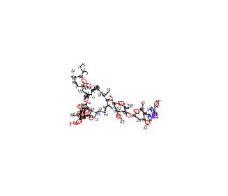 CCC(C)[C@H]1O[C@]2(C=C[C@@H]1C)C[C@@H]1C[C@@H](C/C=C(\C)[C@@H](O[C@H]3C[C@H](OC)[C@@H](O[C@H]4C[C@H](OC)[C@](C[N+](=O)[O-])(NC)[C@H](C)O4)[C@H](C)O3)C(C)/C=C/C=C3\CO[C@@H]4[C@H](O)C(C)=C[C@@H](C(=O)O1)[C@]34O)O2